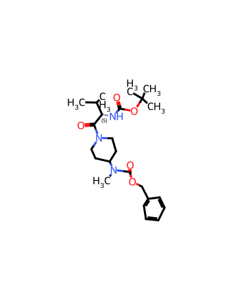 CC(C)[C@H](NC(=O)OC(C)(C)C)C(=O)N1CCC(N(C)C(=O)OCc2ccccc2)CC1